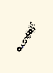 CCNC(=O)N1CCOc2cc3c(cc21)OCC1C3=NOC1CN1CCN(C/C(C)=C/c2ccccc2)CC1